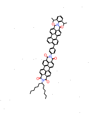 CCCCCCC(CCCCCC)N1C(=O)c2ccc3c4ccc5c6c(ccc(c7ccc(c2c37)C1=O)c64)C(=O)N(c1ccc(-c2ccc3c4ccc6c7c(ccc(c8cccc2c83)c74)C(=O)N(c2c(C(C)C)cccc2C(C)C)C6=O)cc1)C5=O